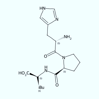 CC[C@H](C)[C@H](NC(=O)[C@@H]1CCCN1C(=O)[C@@H](N)Cc1c[nH]cn1)C(=O)O